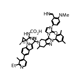 CCc1nccc(-c2ccc3c(c2)cc(C(=O)N2Cc4c(nn(-c5cc(C)cc(C)c5)c4-n4ccn(-c5ccc(NC)c(C=N)c5)c4=O)CC2C)n3[C@@]2(C(=N)NC(=O)O)C[C@@H]2C)c1C